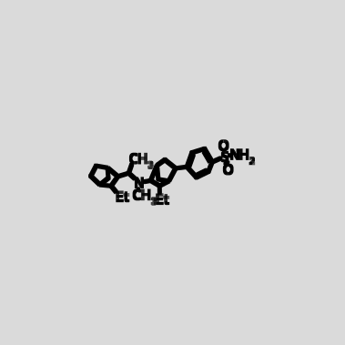 CCC1C2CCC(C2)C1C(C)N(C)C1C2CC(c3ccc(S(N)(=O)=O)cc3)C(C2)C1CC